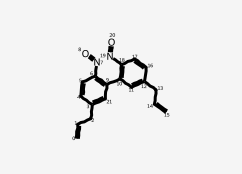 C=CCc1ccc(N=O)c(-c2cc(CC=C)ccc2N=O)c1